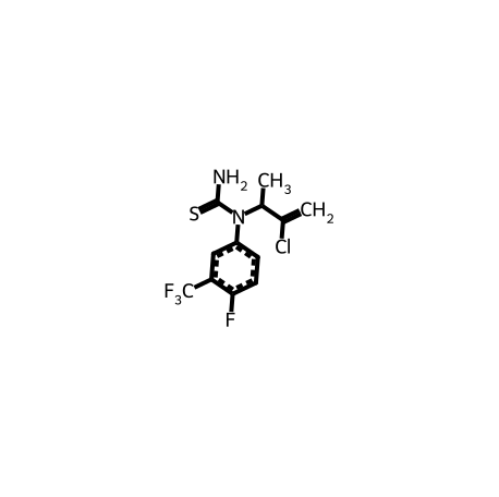 C=C(Cl)C(C)N(C(N)=S)c1ccc(F)c(C(F)(F)F)c1